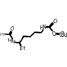 CCC(=O)NC(CC)CCCCNC(=O)OC(C)(C)C